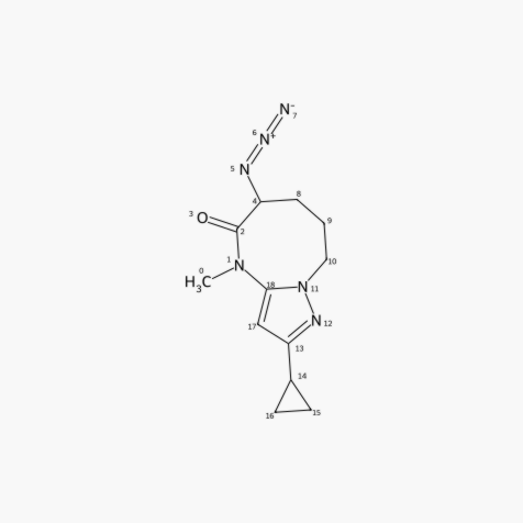 CN1C(=O)C(N=[N+]=[N-])CCCn2nc(C3CC3)cc21